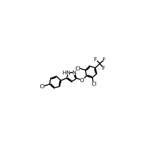 FC(F)(F)c1cc(Cl)c(Oc2cc(-c3ccc(Cl)cc3)[nH]n2)c(Cl)c1